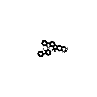 CC1(C)c2cc3ncncc3cc2-c2ccc3c4ccccc4n(-c4cccc5c4sc4ccccc45)c3c21